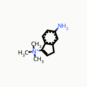 C[N+](C)(C)C1=CCc2cc(N)ccc21